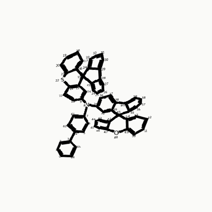 c1ccc(-c2ccc(N(c3ccc4c(c3)C3(c5ccccc5S4)c4ccccc4-c4ccccc43)c3ccc4c(c3)C3(c5ccccc5Oc5ccccc53)c3ccccc3-4)cc2)cc1